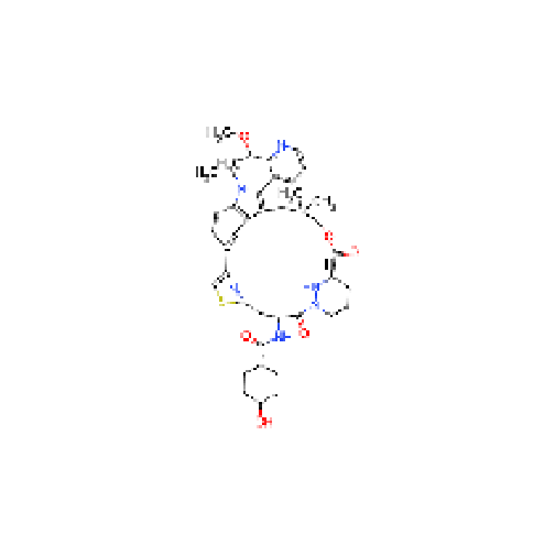 CCn1c(-c2cccnc2[C@H](C)OC)c2c3cc(ccc31)-c1csc(n1)C[C@H](NC(=O)[C@H]1CC[C@H](O)CC1)C(=O)N1CCC[C@H](N1)C(=O)OCC(C)(C)C2